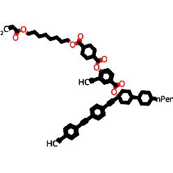 C#Cc1ccc(C#Cc2ccc(C#CC3(OC(=O)c4ccc(OC(=O)C5CCC(C(=O)OCCCCCCCCOC(=O)C=C)CC5)c(C#C)c4)CCC(C4CCC(CCCCC)CC4)CC3)cc2)cc1